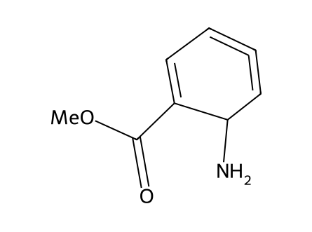 COC(=O)C1=CC=C=CC1N